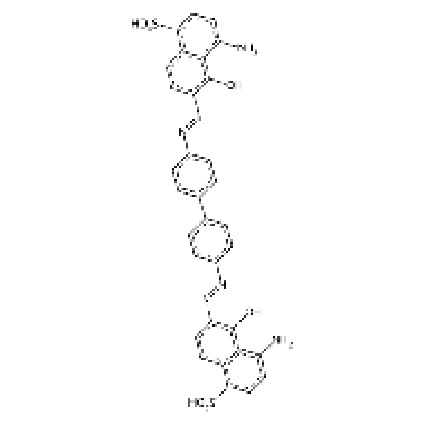 Nc1ccc(S(=O)(=O)O)c2ccc(N=Nc3ccc(-c4ccc(N=Nc5ccc6c(S(=O)(=O)O)ccc(N)c6c5O)cc4)cc3)c(O)c12